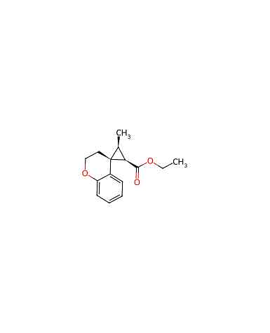 CCOC(=O)[C@@H]1[C@H](C)[C@]12CCOc1ccccc12